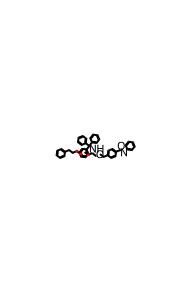 c1ccc(CCCCOCC(COCc2ccc(-c3nc4ccccc4o3)cc2)NC(c2ccccc2)(c2ccccc2)c2ccccc2)cc1